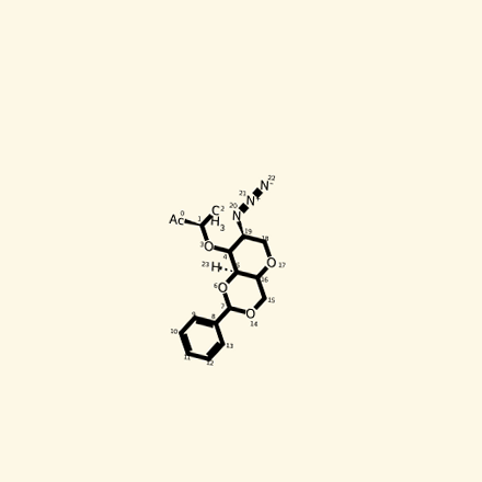 CC(=O)[C@@H](C)OC1[C@@H]2OC(c3ccccc3)OCC2OC[C@@H]1N=[N+]=[N-]